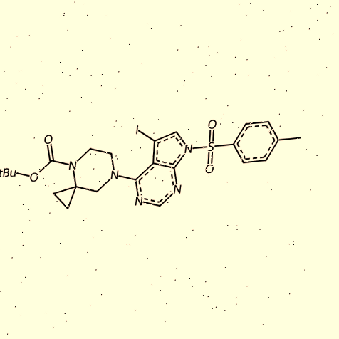 Cc1ccc(S(=O)(=O)n2cc(I)c3c(N4CCN(C(=O)OC(C)(C)C)C5(CC5)C4)ncnc32)cc1